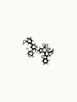 COc1cc(-c2cnc(O[C@H]3C[C@@H](C(=O)O)N(c4nc(C(F)(F)F)nc5c4oc4ccccc45)C3)c(N3CCOC[C@@H]3C)c2)ccn1